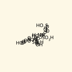 Nc1c(/N=N/c2ccc(S(=O)(=O)CCOS(=O)(=O)O)cc2)c(S(=O)(=O)O)cc2cc(SOOO)c(/N=N/c3ccc(S(=O)(=O)CCOSOOO)cc3S(=O)(=O)O)c(O)c12